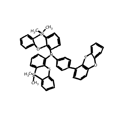 C[Si]1(C)c2ccccc2Oc2c(N(c3ccc(-c4cccc5c4Sc4ccccc4O5)cc3)c3cccc4c3Sc3ccccc3[Si]4(C)C)cccc21